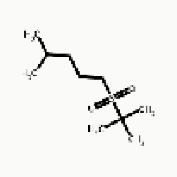 CC(C)CCCS(=O)(=O)C(C)(C)C